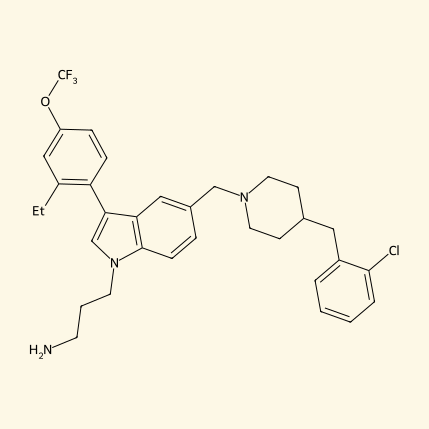 CCc1cc(OC(F)(F)F)ccc1-c1cn(CCCN)c2ccc(CN3CCC(Cc4ccccc4Cl)CC3)cc12